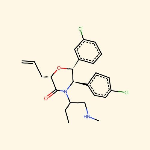 C=CC[C@@H]1O[C@H](c2cccc(Cl)c2)[C@@H](c2ccc(Cl)cc2)N(C(CC)CNC)C1=O